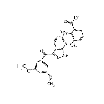 COc1cc(OC)cc(C(=O)c2c[nH]c3nc(Nc4c(C)cccc4[N+](=O)[O-])ccc23)c1